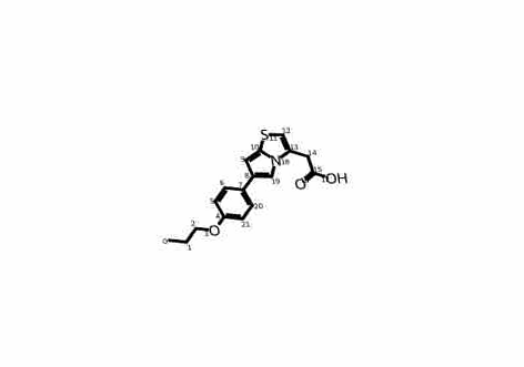 CCCOc1ccc(-c2cc3scc(CC(=O)O)n3c2)cc1